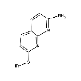 CC(C)Oc1ccc2ccc(N)nc2n1